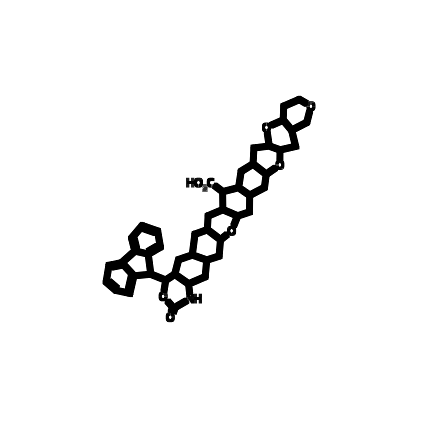 O=C1NC2CC3CC4OC5CC6CC7OC8CC9COCCC9OC8CC7CC6C(C(=O)O)C5CC4CC3CC2C(C2c3ccccc3-c3ccccc32)O1